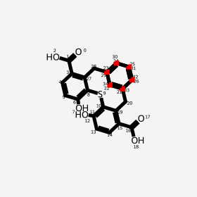 O=C(O)c1ccc(O)c(Sc2c(O)ccc(C(=O)O)c2Cc2ccccc2)c1Cc1ccccc1